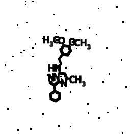 COc1ccc(CCNc2cc(C)nc3c(-c4ccccc4)cnn23)cc1OC